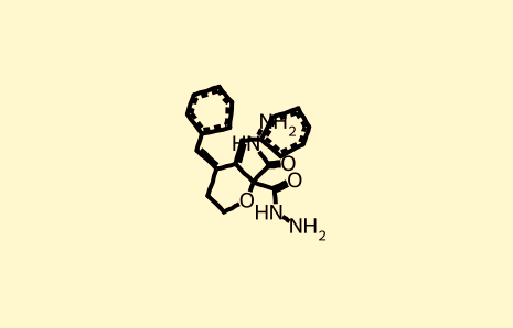 NNC(=O)C1(C(=O)NN)OCCC(=Cc2ccccc2)C1=Cc1ccccc1